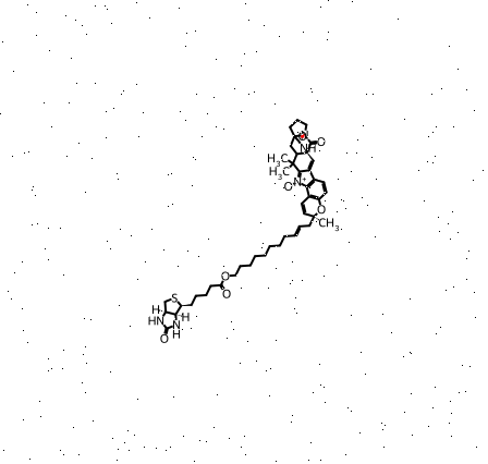 CC1(C)C2=[N+]([O-])c3c(ccc4c3C=C[C@](C)(C/C=C/CCCCCCCCOC(=O)CCCC[C@@H]3SC[C@@H]5NC(=O)N[C@@H]53)O4)C2=C[C@@]23NC(=O)C4(CCCN4C2=O)CC13